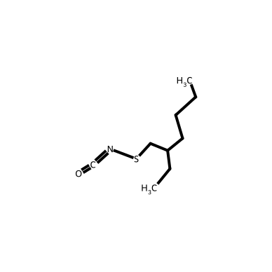 CCCCC(CC)CSN=C=O